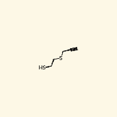 C#CCSCCS